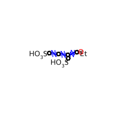 CCOc1ccc(/N=N/c2ccc(/N=N/c3ccc(/N=N/c4ccc(S(=O)(=O)O)cc4)cc3)c3cc(S(=O)(=O)O)ccc23)cc1